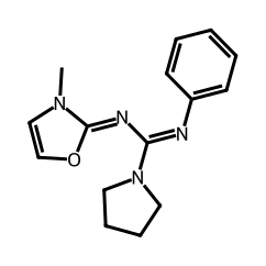 Cn1ccoc1=NC(=Nc1ccccc1)N1CCCC1